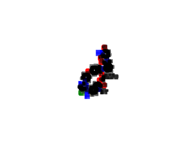 CNC(=O)COc1cc2cc(Nc3nc(N4CCC(OC5CCC6(CC5)CN(c5cccc7c5C(=O)N(C5CCC(=O)NC5=O)C7)C6)CC4)ncc3Cl)ccc2n(C(C)C)c1=O